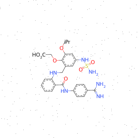 CC(C)Oc1cc(NS(N)(=O)=O)cc(CNc2ccccc2C(=O)Nc2ccc(C(=N)N)cc2)c1OCC(=O)O